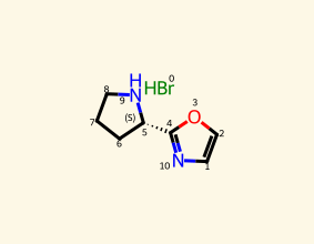 Br.c1coc([C@@H]2CCCN2)n1